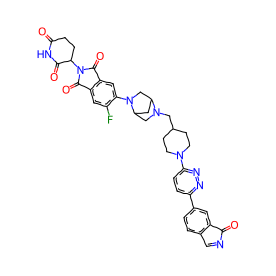 O=C1CCC(N2C(=O)c3cc(F)c(N4CC5CC4CN5CC4CCN(c5ccc(-c6ccc7c(c6)C(=O)N=C7)nn5)CC4)cc3C2=O)C(=O)N1